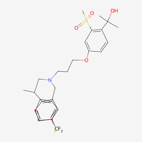 CC(CN(CCCOc1ccc(C(C)(C)O)c(S(C)(=O)=O)c1)Cc1cccc(C(F)(F)F)c1)c1ccc(F)cc1